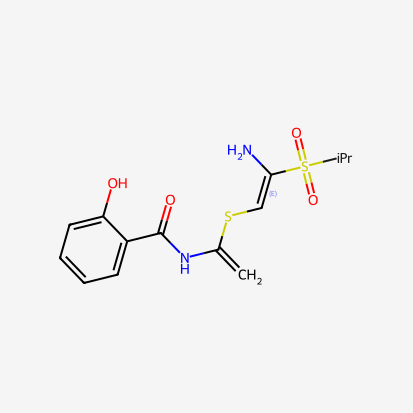 C=C(NC(=O)c1ccccc1O)S/C=C(\N)S(=O)(=O)C(C)C